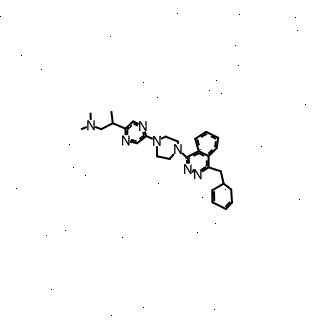 CC(CN(C)C)c1cnc(N2CCN(c3nnc(CC4C=CC=CC4)c4ccccc34)CC2)cn1